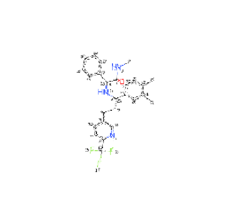 CNC(=O)[C@@H](N[C@@H](CCc1ccc(C(F)(F)F)nc1)c1ccc(C)c(C)c1)c1ccccc1